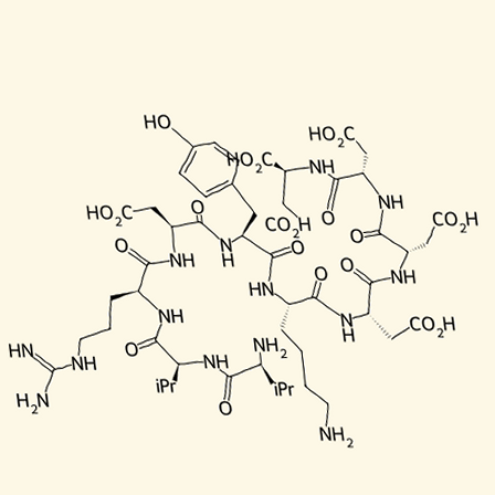 CC(C)[C@H](N)C(=O)N[C@H](C(=O)N[C@@H](CCCNC(=N)N)C(=O)N[C@@H](CC(=O)O)C(=O)N[C@@H](Cc1ccc(O)cc1)C(=O)N[C@@H](CCCCN)C(=O)N[C@@H](CC(=O)O)C(=O)N[C@@H](CC(=O)O)C(=O)N[C@@H](CC(=O)O)C(=O)N[C@@H](CC(=O)O)C(=O)O)C(C)C